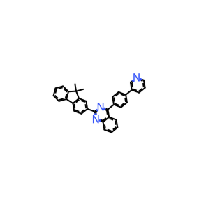 CC1(C)c2ccccc2-c2ccc(-c3nc(-c4ccc(-c5cccnc5)cc4)c4ccccc4n3)cc21